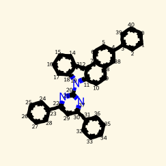 c1ccc(-c2ccc3c(ccc4c3c3ccccc3n4-c3nc(-c4ccccc4)cc(-c4ccccc4)n3)c2)cc1